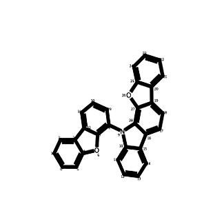 c1ccc2c(c1)oc1c(-n3c4ccccc4c4ccc5c6ccccc6oc5c43)cccc12